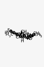 C=CC(=O)Nc1cc(Nc2nc(-c3ccnc(N4CCn5c(cc6c5CC(C)(C)C6)C4=O)c3CO)cn(C)c2=O)ccc1N1CCN(C2CCN(c3ccc(F)c(C(C)C)c3)[C@@H](C)C2)C[C@@H]1C